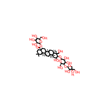 CC1(C)CC[C@]2(C(=O)O[C@@H]3O[C@H](CO)[C@@H](O)[C@H](O)[C@H]3O)CC[C@]3(C)C(=CC[C@@H]4[C@@]5(C)C[C@H](O)[C@H](O[C@@H]6O[C@H](CO)[C@@H](O[C@@H]7OC[C@](O)(CO)[C@H]7O)[C@H](O)[C@H]6O)[C@@](C)(CO)[C@@H]5CC[C@]43C)[C@@H]2C1